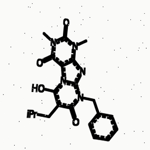 CC(C)Cc1c(O)n2c3c(=O)n(C)c(=O)n(C)c3nc2n(Cc2ccccc2)c1=O